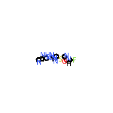 N[C@@H]1c2cccnc2CC12CCN(c1nc3ccc(Sc4ccnc5c4OC[C@@H]4C[C@@H](F)CN54)c4ncc1n34)CC2